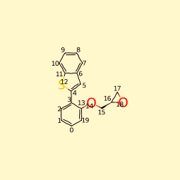 c1ccc(-c2cc3ccccc3s2)c(OC[C@H]2CO2)c1